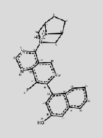 O=C(O)N1C2CCC1CN(c1ncnc3c(F)c(-c4cc(O)cc5ccccc45)ncc13)C2